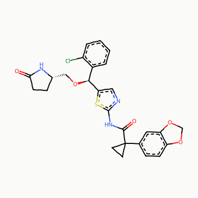 O=C1CC[C@@H](CO[C@H](c2cnc(NC(=O)C3(c4ccc5c(c4)OCO5)CC3)s2)c2ccccc2Cl)N1